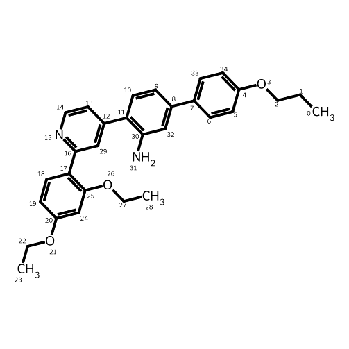 CCCOc1ccc(-c2ccc(-c3ccnc(-c4ccc(OCC)cc4OCC)c3)c(N)c2)cc1